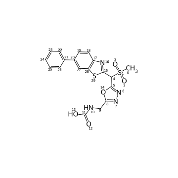 CS(=O)(=O)C(c1nnc(CNC(=O)O)o1)c1nc2ccc(-c3ccccc3)cc2s1